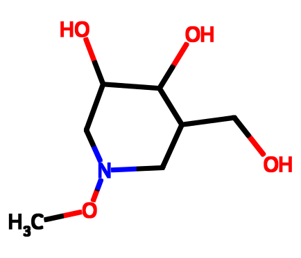 CON1CC(O)C(O)C(CO)C1